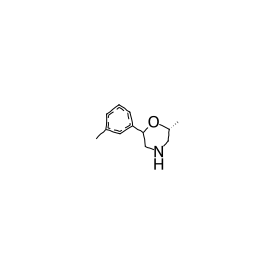 Cc1cccc(C2CNC[C@@H](C)O2)c1